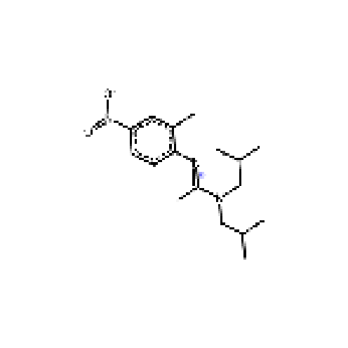 C/C(=N\c1ccc([N+](=O)[O-])cc1C)N(CC(C)C)CC(C)C